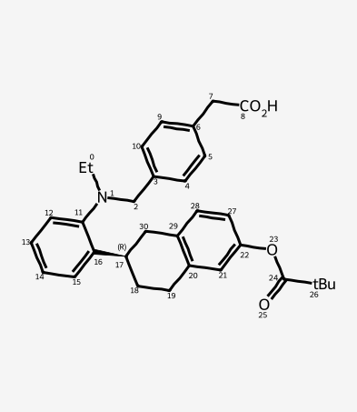 CCN(Cc1ccc(CC(=O)O)cc1)c1ccccc1[C@@H]1CCc2cc(OC(=O)C(C)(C)C)ccc2C1